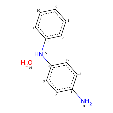 Nc1ccc(Nc2ccccc2)cc1.O